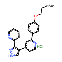 CNCCOc1ccc(-c2cc(-c3c[nH]nc3-c3ccccn3)ccn2)cc1.Cl